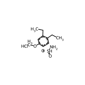 CCc1ccc(OC)cc1CC.Cl.N[SH](=O)=O